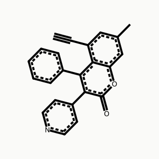 C#Cc1cc(C)cc2oc(=O)c(-c3ccncc3)c(-c3ccccc3)c12